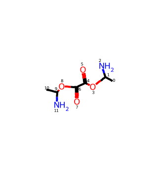 CC(N)OC(=O)C(=O)OC(C)N